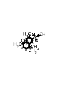 C#CS(=O)(=O)c1cc2c(cc1C)C(C)(C)CCC2(C)C